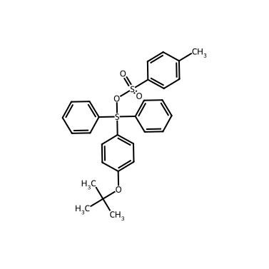 Cc1ccc(S(=O)(=O)OS(c2ccccc2)(c2ccccc2)c2ccc(OC(C)(C)C)cc2)cc1